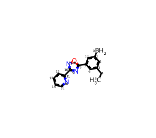 Bc1cc(CC)cc(-c2nc(-c3ccccn3)no2)c1